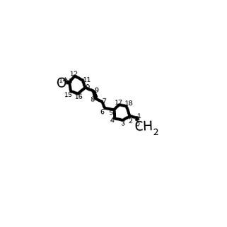 C=CC1CCC(CCC=CC2CCC(=O)CC2)CC1